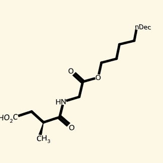 CCCCCCCCCCCCCCOC(=O)CNC(=O)[C@@H](C)CC(=O)O